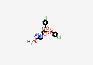 COc1ncnc2c1ccn2[C@H]1CC(OC(=O)c2ccc(Cl)cc2)[C@@H](COC(=O)c2ccc(Cl)cc2)O1